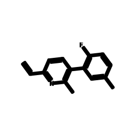 C=Cc1ccc(-c2cc(C)ccc2F)c(C)n1